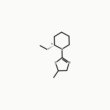 CC[C@@H]1CCCCN1C1=NCC(C)S1